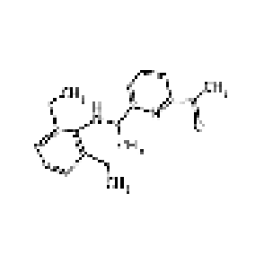 CCc1cccc(CC)c1NC(C)c1cccc(C(C)=O)n1